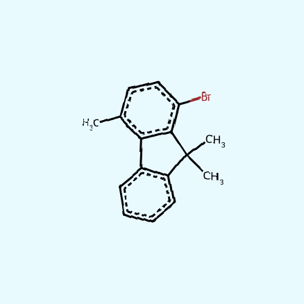 Cc1ccc(Br)c2c1-c1ccccc1C2(C)C